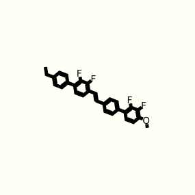 CCc1ccc(-c2ccc(/C=C/c3ccc(-c4ccc(OC)c(F)c4F)cc3)c(F)c2F)cc1